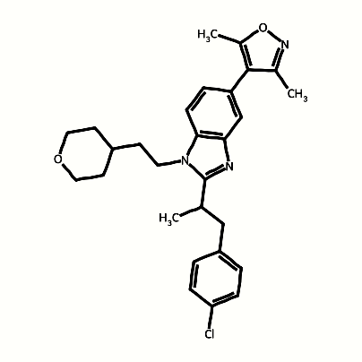 Cc1noc(C)c1-c1ccc2c(c1)nc(C(C)Cc1ccc(Cl)cc1)n2CCC1CCOCC1